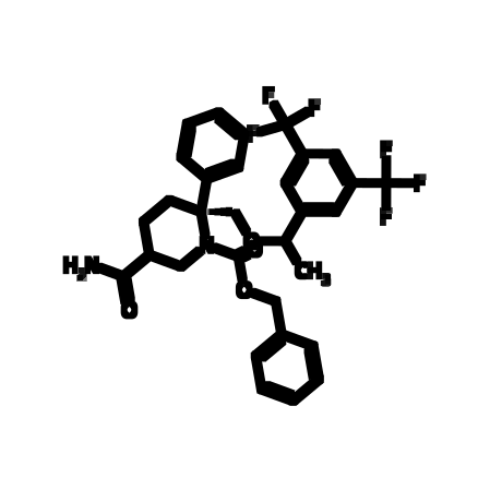 CC(OC[C@@]1(c2ccccc2)CCC(C(N)=O)CN1C(=O)OCc1ccccc1)c1cc(C(F)(F)F)cc(C(F)(F)F)c1